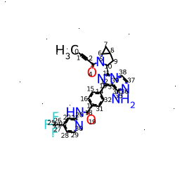 CC#CC(=O)N1C2CC2C[C@H]1c1nc(-c2ccc(C(=O)Nc3cc(C(F)(F)F)ccn3)cc2)c2c(N)nccn12